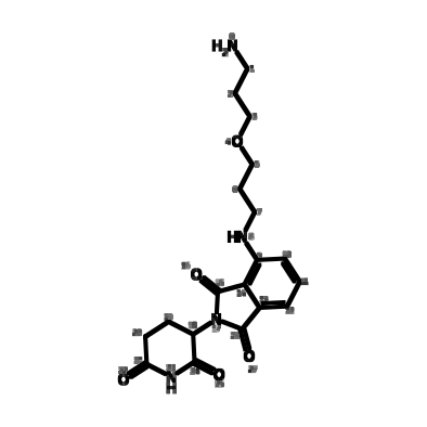 NCCCOCCCNc1cccc2c1C(=O)N(C1CCC(=O)NC1=O)C2=O